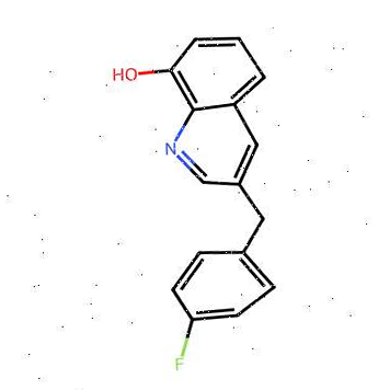 Oc1cccc2cc(Cc3ccc(F)cc3)cnc12